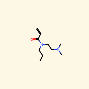 C=CC(=O)N(CCC)CCN(C)C